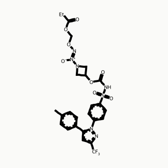 CCC(=O)OCON=[N+]([O-])N1CC(OC(=O)NS(=O)(=O)c2ccc(-n3nc(C(F)(F)F)cc3-c3ccc(C)cc3)cc2)C1